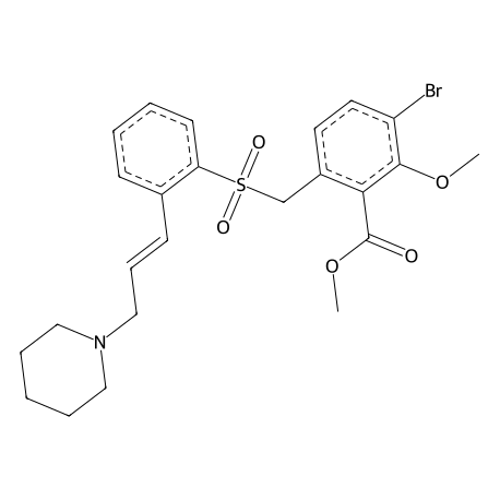 COC(=O)c1c(CS(=O)(=O)c2ccccc2C=CCN2CCCCC2)ccc(Br)c1OC